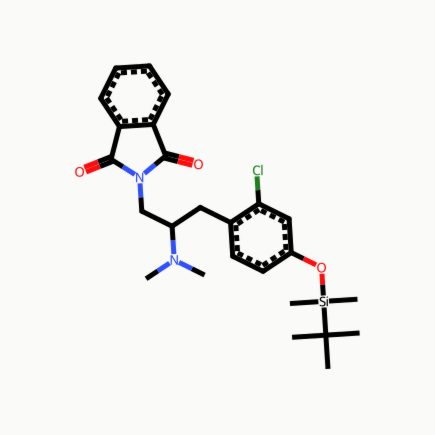 CN(C)C(Cc1ccc(O[Si](C)(C)C(C)(C)C)cc1Cl)CN1C(=O)c2ccccc2C1=O